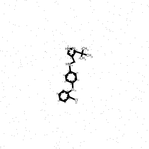 CC(C)(C)c1n[nH]cc1CNc1ccc(Oc2ccccc2Cl)cc1